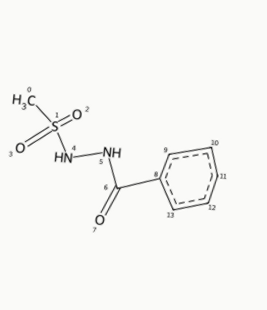 CS(=O)(=O)NNC(=O)c1ccccc1